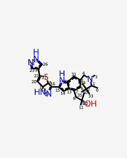 CC(N(C)Cc1cc(CC(C)(C)O)c2cc(C3=NNC4C=C(c5cn[nH]c5)SC34)[nH]c2c1)C(C)(C)C